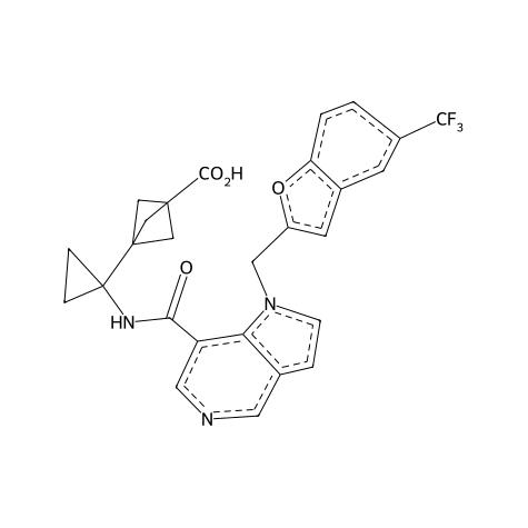 O=C(NC1(C23CC(C(=O)O)(C2)C3)CC1)c1cncc2ccn(Cc3cc4cc(C(F)(F)F)ccc4o3)c12